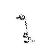 OCc1cc(C(O)CNCCCCCCOCCCCc2ccc3c(c2)S(O)(O)CCC3)ccc1O